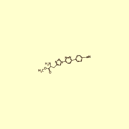 COC(=O)C(N)Cc1cn(-c2ccc(-c3ccc(C#N)cc3)nn2)cn1